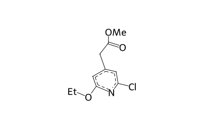 CCOc1cc(CC(=O)OC)cc(Cl)n1